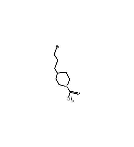 CC(=O)N1CCC(CCCBr)CC1